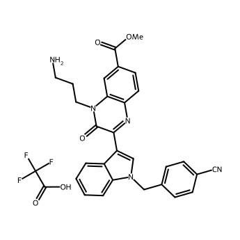 COC(=O)c1ccc2nc(-c3cn(Cc4ccc(C#N)cc4)c4ccccc34)c(=O)n(CCCN)c2c1.O=C(O)C(F)(F)F